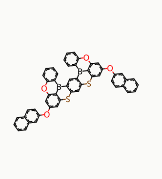 c1ccc2c(c1)Oc1cc(Oc3ccc4ccccc4c3)cc3c1B2c1cc2c(cc1S3)Sc1cc(Oc3ccc4ccccc4c3)cc3c1B2c1ccccc1O3